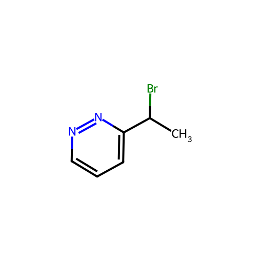 CC(Br)c1cccnn1